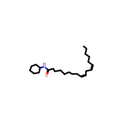 CCCCC/C=C\C/C=C\CCCCCCCC(=O)NC1CCCCC1